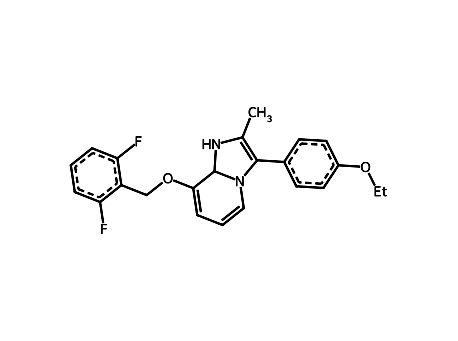 CCOc1ccc(C2=C(C)NC3C(OCc4c(F)cccc4F)=CC=CN23)cc1